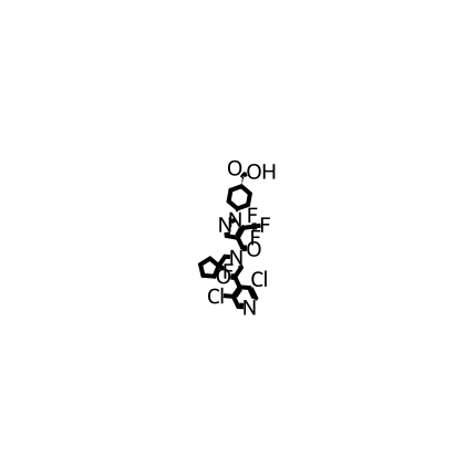 O=C(CN(CC1(F)CCCC1)C(=O)c1cnn([C@H]2CC[C@@H](C(=O)O)CC2)c1C(F)(F)F)c1c(Cl)cncc1Cl